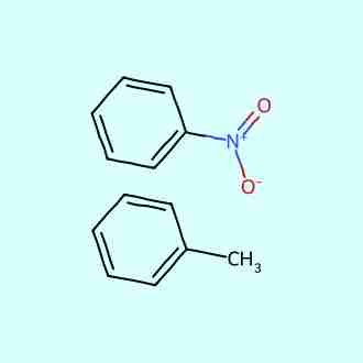 Cc1ccccc1.O=[N+]([O-])c1ccccc1